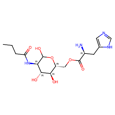 CCCC(=O)N[C@H]1C(O)O[C@H](COC(=O)[C@@H](N)Cc2cnc[nH]2)[C@@H](O)[C@@H]1O